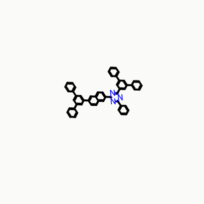 c1ccc(-c2cc(-c3ccccc3)cc(-c3ccc4cc(-c5nc(-c6ccccc6)nc(-c6cc(-c7ccccc7)cc(-c7ccccc7)c6)n5)ccc4c3)c2)cc1